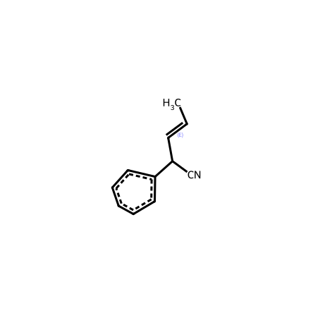 C/C=C/C(C#N)c1ccccc1